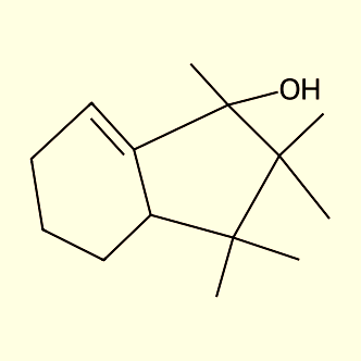 CC1(O)C2=CCCCC2C(C)(C)C1(C)C